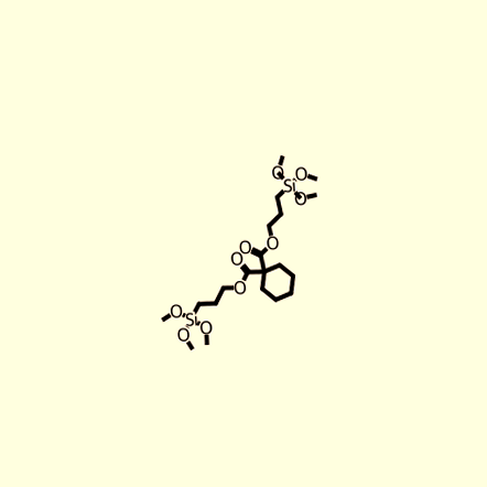 CO[Si](CCCOC(=O)C1(C(=O)OCCC[Si](OC)(OC)OC)CCCCC1)(OC)OC